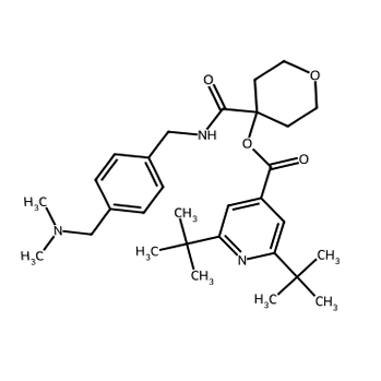 CN(C)Cc1ccc(CNC(=O)C2(OC(=O)c3cc(C(C)(C)C)nc(C(C)(C)C)c3)CCOCC2)cc1